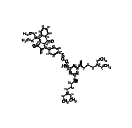 CCN(CC)CCCNc1nc(NCCCN(CC)CC)nc(NOOSc2ccc(C3=C4C(=O)c5ccccc5C(N(CC)CC)=C4C(=O)N3)cc2)n1